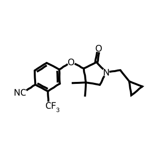 CC1(C)CN(CC2CC2)C(=O)C1Oc1ccc(C#N)c(C(F)(F)F)c1